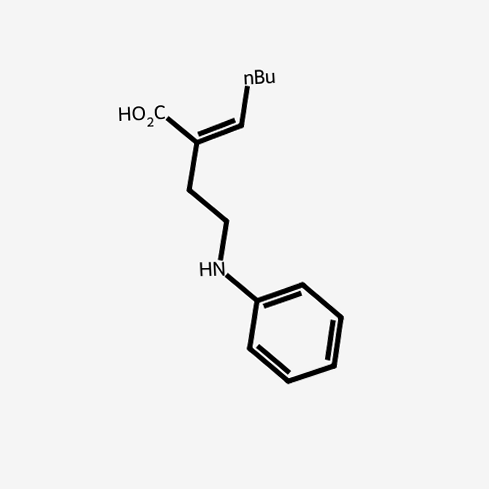 CCCCC=C(CCNc1ccccc1)C(=O)O